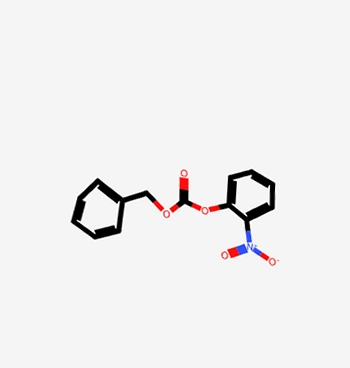 O=C(OCc1ccccc1)Oc1ccccc1[N+](=O)[O-]